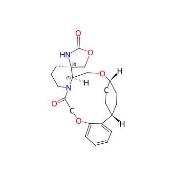 O=C1N[C@@]2(CCCN3C(=O)COc4ccccc4[C@H]4CC[C@H](CC4)OC[C@@H]32)CO1